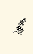 Cc1cc(C(=O)Nc2ccc(OC(F)(F)Cl)cc2)cc(-c2ccn[nH]2)c1C(C)(C)N(C=O)CCO